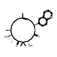 C/C1=C/C[C@@H](c2ccc3ncccc3c2)OC(=O)C[C@H](O)C(C)(C)C(=O)[C@H](C)[C@@H](O)[C@@H](C)CCC1